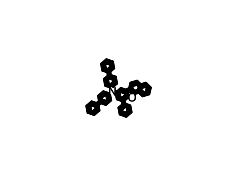 c1ccc(-c2ccc(N(c3ccc(-c4ccccc4)cc3)c3cc(-c4ccccc4)c4oc5c6ccccc6ccc5c4c3)cc2)cc1